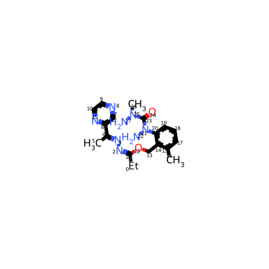 CCC(=NN=C(C)c1cnccn1)OCc1c(C)cccc1N(N)C(=O)N(C)N